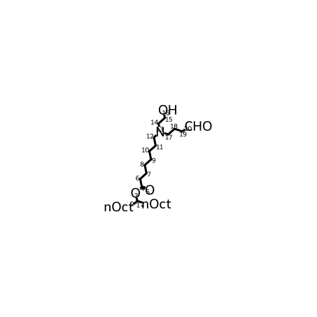 CCCCCCCCC(CCCCCCCC)OC(=O)CCCCCCCN(CCO)CCCC=O